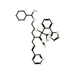 CC(OCCCC(CC=Cc1cccnc1)C(=C=O)C(N)(C(=O)O)c1ccccc1-c1ncco1)C1CCCCC1